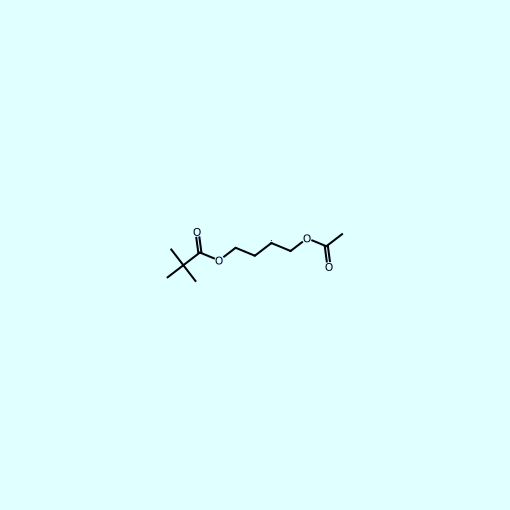 CC(=O)OC[CH]CCOC(=O)C(C)(C)C